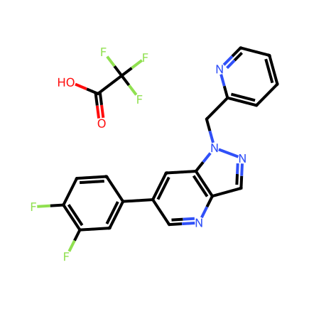 Fc1ccc(-c2cnc3cnn(Cc4ccccn4)c3c2)cc1F.O=C(O)C(F)(F)F